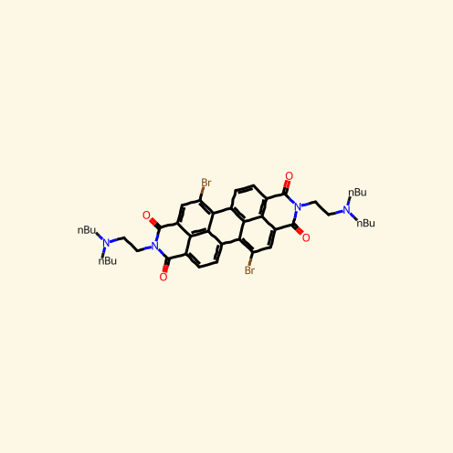 CCCCN(CCCC)CCN1C(=O)c2ccc3c4c(Br)cc5c6c(ccc(c7c(Br)cc(c2c37)C1=O)c64)C(=O)N(CCN(CCCC)CCCC)C5=O